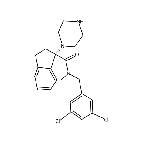 CN(Cc1cc(Cl)cc(Cl)c1)C(=O)[C@]1(N2CCNCC2)CCc2ccccc21